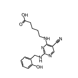 N#Cc1cnc(NCc2ccccc2O)nc1NCCCCC(=O)O